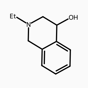 CCN1Cc2ccccc2C(O)C1